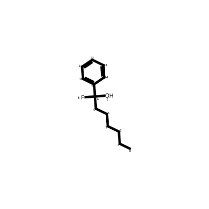 CCCCCCC(O)(F)c1ccccc1